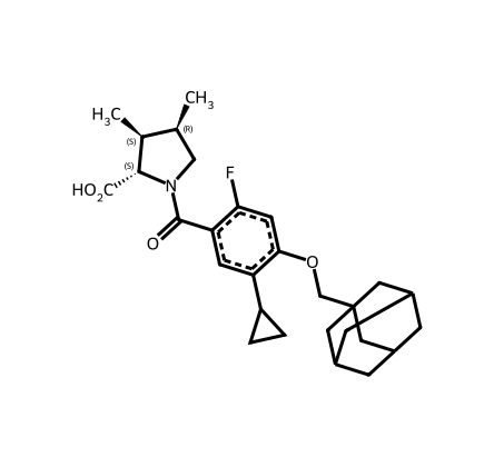 C[C@@H]1[C@@H](C(=O)O)N(C(=O)c2cc(C3CC3)c(OCC34CC5CC(CC(C5)C3)C4)cc2F)C[C@@H]1C